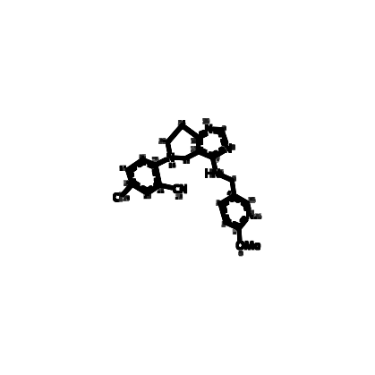 COc1ccc(CNc2ncnc3c2CN(c2ccc(Cl)cc2C#N)CC3)cn1